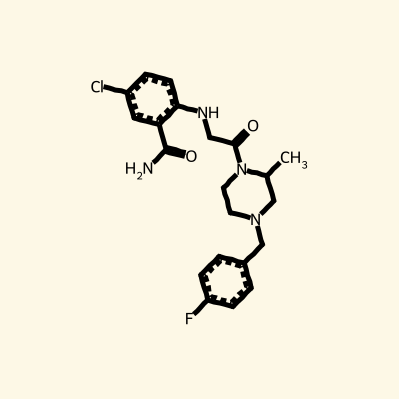 CC1CN(Cc2ccc(F)cc2)CCN1C(=O)CNc1ccc(Cl)cc1C(N)=O